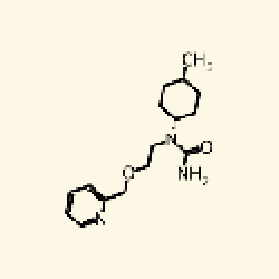 C[C@H]1CC[C@H](N(CCOCc2ccccn2)C(N)=O)CC1